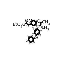 CCOC(=O)[C@H](Cc1ccc(O[C@@H](C)[C@H](C)Oc2ccc(Oc3ccccc3)cc2)cc1)OC